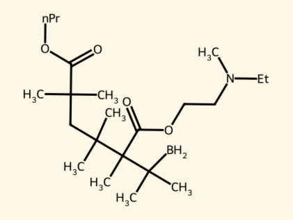 BC(C)(C)C(C)(C(=O)OCCN(C)CC)C(C)(C)CC(C)(C)C(=O)OCCC